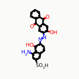 Nc1cc(S(=O)(=O)O)cc2ccc(N=Nc3cc4c(cc3O)C(=O)c3ccccc3C4=O)c(O)c12